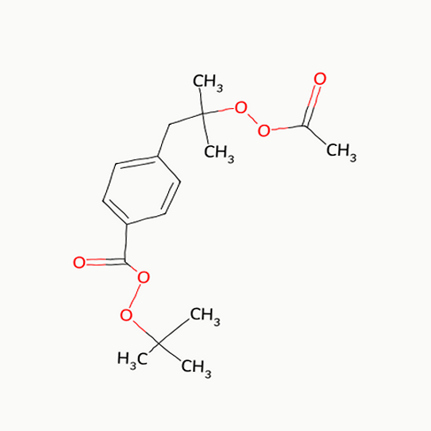 CC(=O)OOC(C)(C)Cc1ccc(C(=O)OOC(C)(C)C)cc1